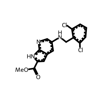 COC(=O)c1cc2cc(NCc3c(Cl)cccc3Cl)cnc2[nH]1